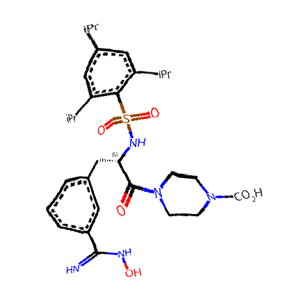 CC(C)c1cc(C(C)C)c(S(=O)(=O)N[C@@H](Cc2cccc(C(=N)NO)c2)C(=O)N2CCN(C(=O)O)CC2)c(C(C)C)c1